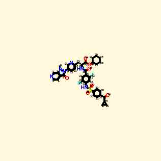 Cn1c2cnccc2c(=O)n1-c1ccc(C[C@H](NC(=O)c2cc(F)c(NS(=O)(=O)c3ccc(C(=O)C4CC4)cc3)cc2F)C(=O)OC2CCCCC2)nc1